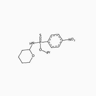 CC(C)OP(=S)(NC1CCCCO1)c1ccc([N+](=O)[O-])cc1